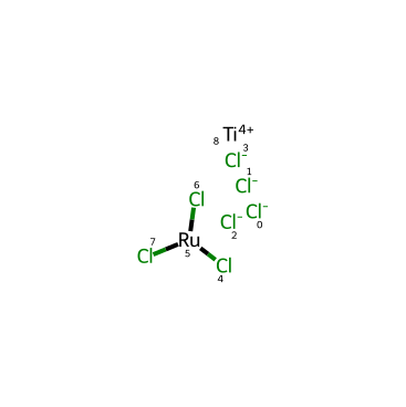 [Cl-].[Cl-].[Cl-].[Cl-].[Cl][Ru]([Cl])[Cl].[Ti+4]